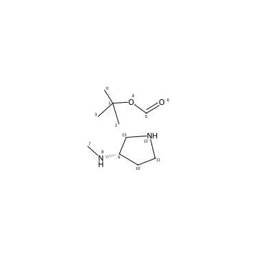 CC(C)(C)OC=O.CN[C@H]1CCNC1